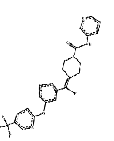 O=C(Nc1cccnc1)N1CCC(=C(F)c2cccc(Oc3ccc(C(F)(F)F)cn3)c2)CC1